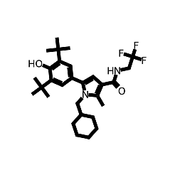 Cc1c(C(=O)NCC(F)(F)F)cc(-c2cc(C(C)(C)C)c(O)c(C(C)(C)C)c2)n1CC1CCCCC1